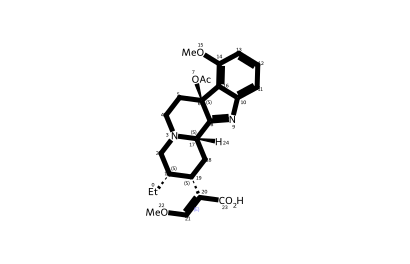 CC[C@@H]1CN2CC[C@@]3(OC(C)=O)C(=Nc4cccc(OC)c43)[C@@H]2C[C@@H]1/C(=C\OC)C(=O)O